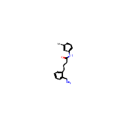 N#Cc1cccc(NC(=O)CCCc2cc[c]cc2CN)c1